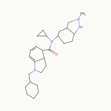 CN1CC2CC(N(C(=O)C3C=CC=C4C3CCN4CC3CCCCC3)C3CC3)CCC2N1